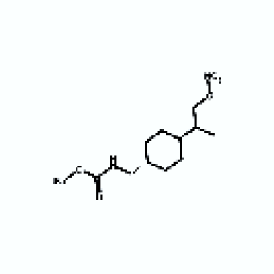 CC(CO[N+](=O)[O-])[C@H]1CC[C@H](CNC(=O)OC(C)(C)C)CC1